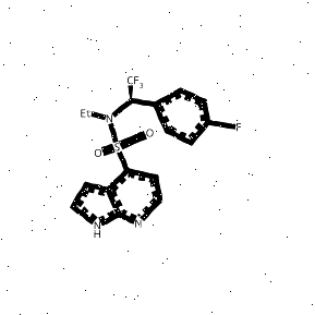 CCN([C@H](c1ccc(F)cc1)C(F)(F)F)S(=O)(=O)c1ccnc2[nH]ccc12